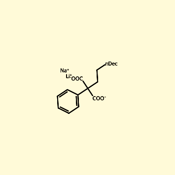 CCCCCCCCCCCCC(C(=O)[O-])(C(=O)[O-])c1ccccc1.[Li+].[Na+]